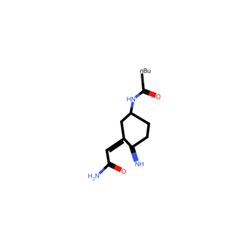 CCCCC(=O)NC1CCC(=N)/C(=C\C(N)=O)C1